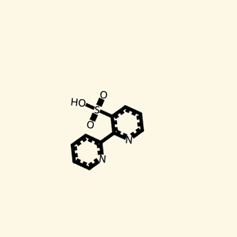 O=S(=O)(O)c1cccnc1-c1ccccn1